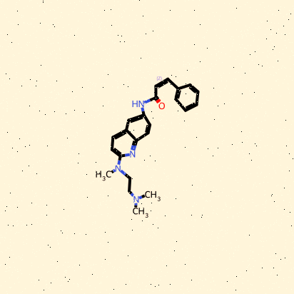 CN(C)CCN(C)c1ccc2cc(NC(=O)/C=C\c3ccccc3)ccc2n1